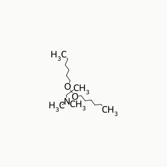 CCCCCCOC(C)(CN(C)C)OCCCCCC